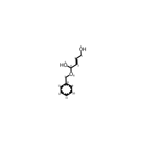 OCC=CC(O)OCc1ccccc1